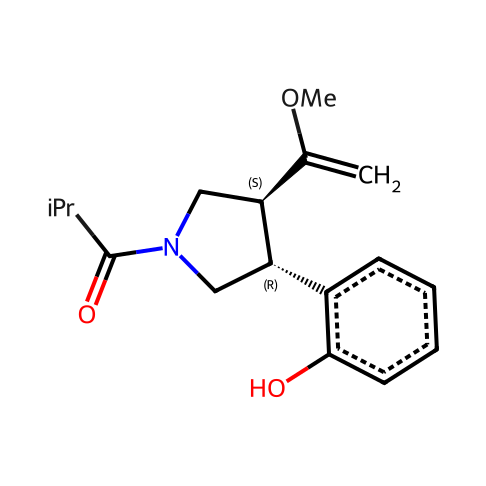 C=C(OC)[C@@H]1CN(C(=O)C(C)C)C[C@H]1c1ccccc1O